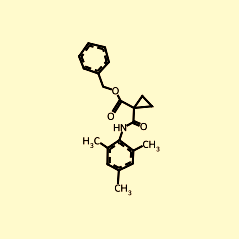 Cc1cc(C)c(NC(=O)C2(C(=O)OCc3ccccc3)CC2)c(C)c1